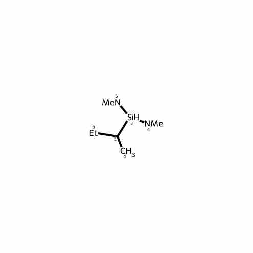 CCC(C)[SiH](NC)NC